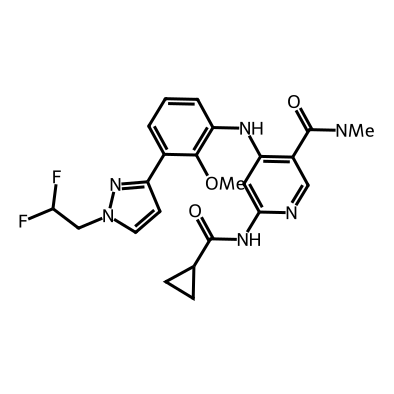 CNC(=O)c1cnc(NC(=O)C2CC2)cc1Nc1cccc(-c2ccn(CC(F)F)n2)c1OC